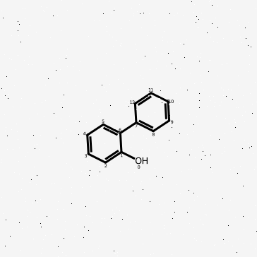 Oc1ccccc1-c1cc[c]cc1